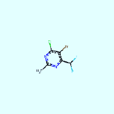 Cc1nc(Cl)c(Br)c(C(F)F)n1